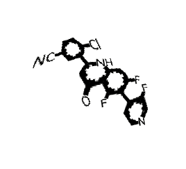 N#Cc1ccc(Cl)c(-c2cc(=O)c3c(F)c(-c4ccncc4F)c(F)cc3[nH]2)c1